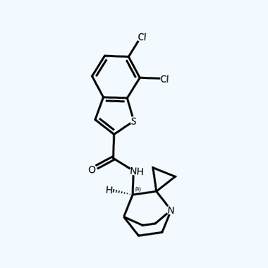 O=C(N[C@@H]1C2CCN(CC2)C12CC2)c1cc2ccc(Cl)c(Cl)c2s1